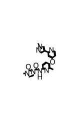 Cc1nc(NC(=O)N2CCN(C)C2=O)ccc1Oc1ccnc(-c2cnn(C)c2)c1